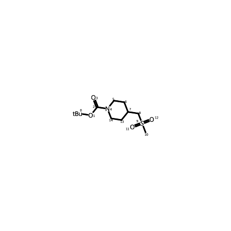 CC(C)(C)OC(=O)N1CCC(CS(C)(=O)=O)CC1